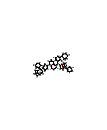 c1ccc(-c2ccc(N(c3cccc4c(-c5ccc6c(c5)-c5ccccc5C65C6CC7CC(C6)CC5C7)cccc34)c3cccc4c5ccccc5n(-c5ccccc5)c34)cc2)cc1